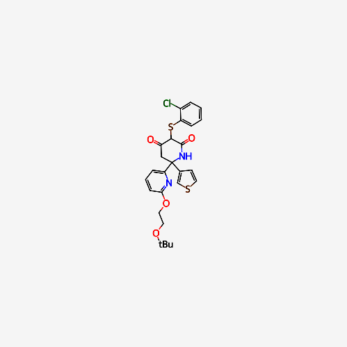 CC(C)(C)OCCOc1cccc(C2(c3ccsc3)CC(=O)C(Sc3ccccc3Cl)C(=O)N2)n1